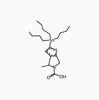 CCC[CH2][Sn]([CH2]CCC)([CH2]CCC)[c]1cc2c(s1)CN(C(=O)O)C2C